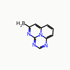 BC1=NC2=NC=NC3=CC=CC(=C1)N32